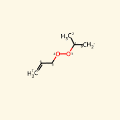 [CH2]C(C)OOCC=C